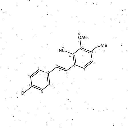 COc1ccc(C=Cc2ccc(Cl)cc2)c(C#N)c1OC